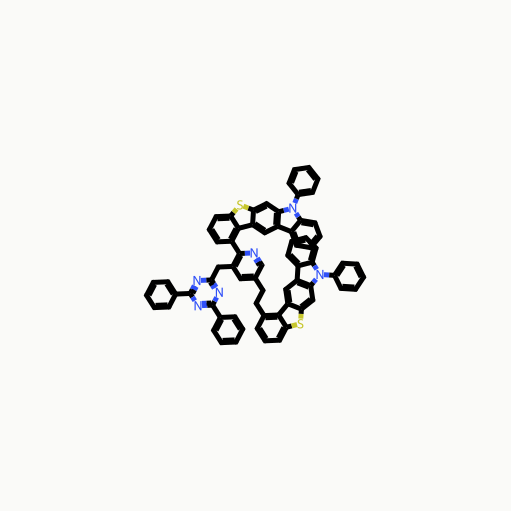 c1ccc(-c2nc(Cc3cc(CCc4cccc5sc6cc7c(cc6c45)c4ccccc4n7-c4ccccc4)cnc3-c3cccc4sc5cc6c(cc5c34)c3ccccc3n6-c3ccccc3)nc(-c3ccccc3)n2)cc1